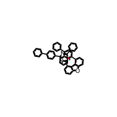 c1ccc(-c2ccc(-c3nc(-c4ccccc4)nc(-c4cccc5oc6cccc(-c7ccc(-c8ccccc8)c8ccccc78)c6c45)n3)cc2)cc1